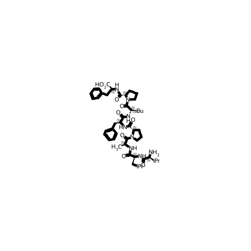 CC[C@H](C)[C@H](NC(=O)[C@H](Cc1ccccc1)NC(=O)[C@@H]1CCCN1C(=O)[C@H](C)NC(=O)[C@H](CC(C)C)NC(=O)[C@@H](N)C(C)C)C(=O)N1CCC[C@H]1C(=O)N[C@@H](Cc1ccccc1)C(=O)O